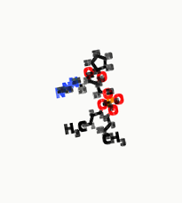 CCCCOP(=O)(OCCCC)OC[C@@H]1OC2(CCCC2)O[C@H]1CN=[N+]=[N-]